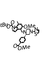 COC(=O)c1ccc([C@@H]2CN(c3nccs3)CCN2Cc2c(OC)cc(C)c3c2ccn3C(=O)OC(C)(C)C)cc1